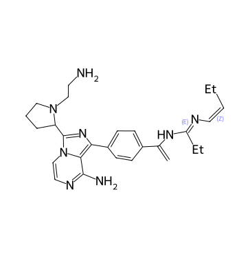 C=C(N/C(CC)=N/C=C\CC)c1ccc(-c2nc(C3CCCN3CCN)n3ccnc(N)c23)cc1